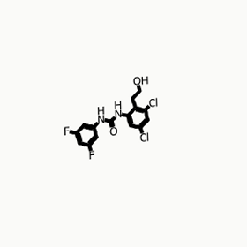 O=C(Nc1cc(F)cc(F)c1)Nc1cc(Cl)cc(Cl)c1CCO